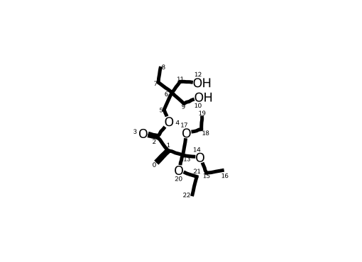 C=C(C(=O)OCC(CC)(CO)CO)C(OCC)(OCC)OCC